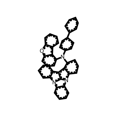 c1ccc(-c2ccc(N(c3cccc4oc5ccccc5c34)c3cccc4c3c3c5ccccc5n5c6ccccc6n4c35)cc2)cc1